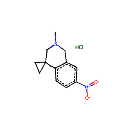 CN1Cc2cc([N+](=O)[O-])ccc2C2(CC2)C1.Cl